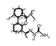 CC(=NN(I)C(N)=O)c1nccc(-c2c(F)cccc2F)c1OC(=O)N(C)C